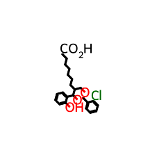 O=C(O)CCCCCCCC1COC(c2ccccc2Cl)OC1c1ccccc1O